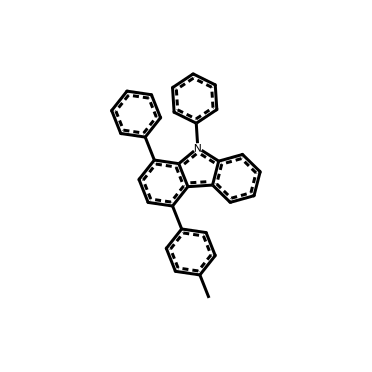 Cc1ccc(-c2ccc(-c3ccccc3)c3c2c2ccccc2n3-c2ccccc2)cc1